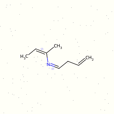 C=CC/C=N\C(C)=C/C